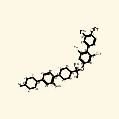 CCCc1ccc(-c2c(F)cc(OC(F)(F)C3CCC(c4ccc(C5CCC(C)CC5)cc4F)CC3)cc2F)cc1F